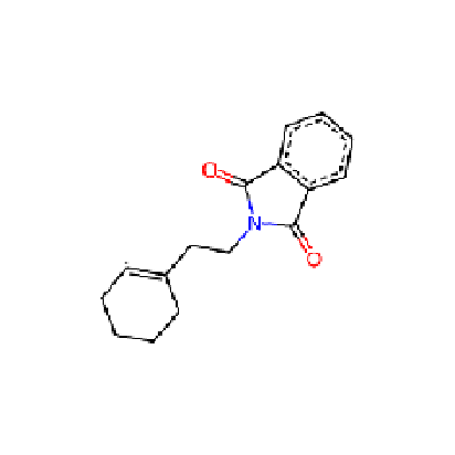 O=C1c2ccccc2C(=O)N1CCC1=[C]CCCC1